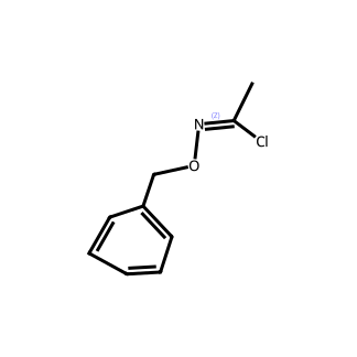 C/C(Cl)=N/OCc1ccccc1